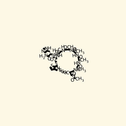 CC(=O)/N=C/C1CCCCn2cc3ccsc3c2SC[C@@H](C(=O)N[C@@H](Cc2cnc[nH]2)C(N)=O)NC(=O)[C@H](C)NC(=O)[C@H](C)NC(=O)[C@H](C)NC(=O)[C@H](C)NC(=O)[C@H](C)NC1=O